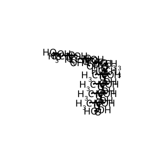 CC(=O)O.CCC(=O)O.CCCC(=O)O.CCCCN(OCCO)OCCO.CCCCN(OCCO)OCCO.CCCCN(OCCO)OCCO.CCCCN(OCCO)OCCO.CCCCN(OCCO)OCCO.CCCCN(OCCO)OCCO.O=C(O)CC(=O)O.O=CO